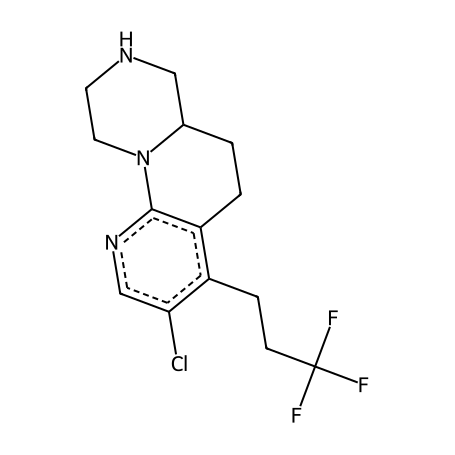 FC(F)(F)CCc1c(Cl)cnc2c1CCC1CNCCN21